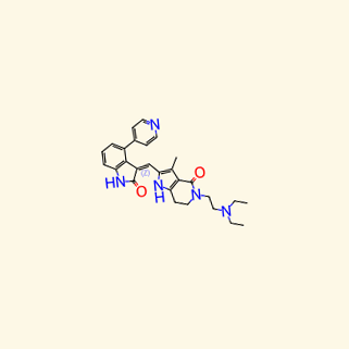 CCN(CC)CCN1CCc2[nH]c(/C=C3\C(=O)Nc4cccc(-c5ccncc5)c43)c(C)c2C1=O